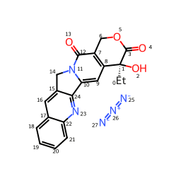 CC[C@@]1(O)C(=O)OCc2c1cc1n(c2=O)Cc2cc3ccccc3nc2-1.[N-]=[N+]=[N-]